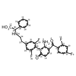 Nc1c(C(=O)c2ccc(F)cc2F)ccc(=O)n1-c1c(F)cc(CCN[C@@H](C(=O)O)c2ccccc2)cc1F